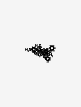 CC[C@]12O[C@@H](n3ccc(N)nc3=O)[C@H](F)[C@@]1(O)C2OP(=O)(NC(C)C(=O)OC1CCCCC1)OC(C)C(=O)OC1CCCCC1